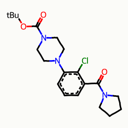 CC(C)(C)OC(=O)N1CCN(c2cccc(C(=O)N3CCCC3)c2Cl)CC1